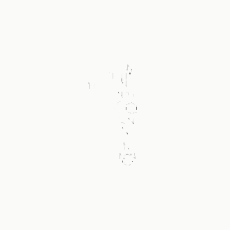 CC(C)CCN(C(=O)NCC#N)C(=O)c1cccc(NC(=O)N2CCN(c3ncccn3)CC2)c1